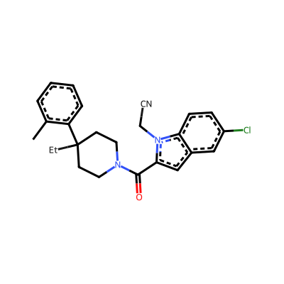 CCC1(c2ccccc2C)CCN(C(=O)c2cc3cc(Cl)ccc3n2CC#N)CC1